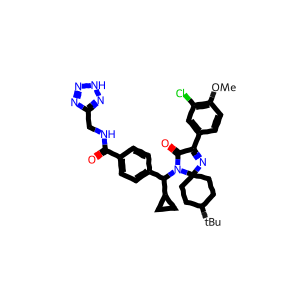 COc1ccc(C2=NC3(CCC(C(C)(C)C)CC3)N(C(c3ccc(C(=O)NCc4nn[nH]n4)cc3)C3CC3)C2=O)cc1Cl